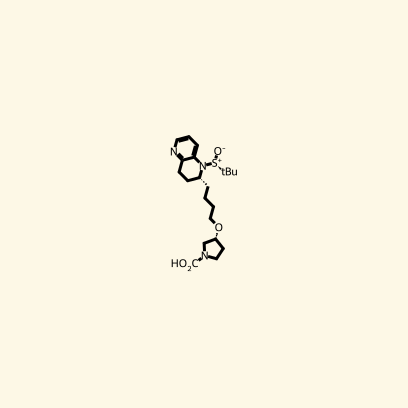 CC(C)(C)[S@@+]([O-])N1c2cccnc2CC[C@H]1CCCCO[C@@H]1CCN(C(=O)O)C1